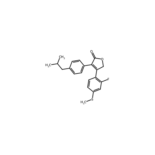 CSc1ccc(C2=C(c3ccc(CC(C)C)cc3)C(=O)OC2)c(F)c1